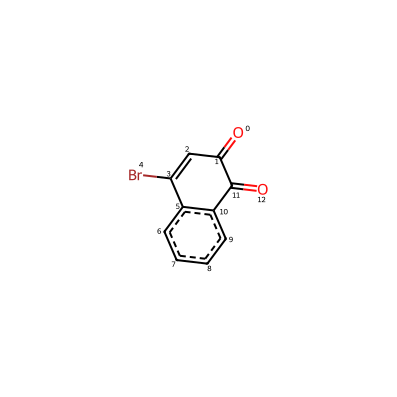 O=C1C=C(Br)c2ccccc2C1=O